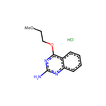 COCCOc1nc(N)nc2ccccc12.Cl